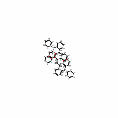 O=C(NC(c1ccccc1)[C@@H](NC(=O)c1ccccc1P(c1ccccc1)c1ccccc1)c1ccccc1)c1ccccc1P(c1ccccc1)c1ccccc1